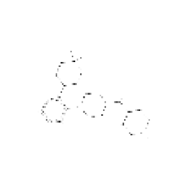 CC1(C)CCC(c2ccccc2N2CCN(CC3CCOCC3)CC2)CC1.Cl